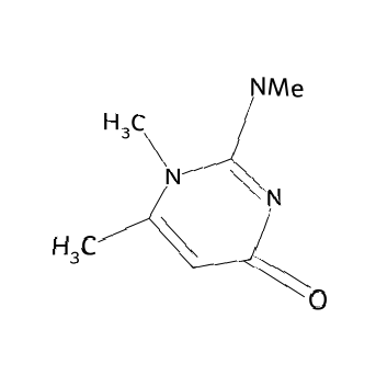 CNc1nc(=O)cc(C)n1C